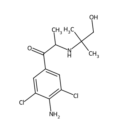 CC(NC(C)(C)CO)C(=O)c1cc(Cl)c(N)c(Cl)c1